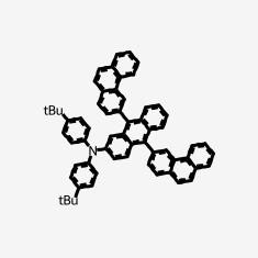 CC(C)(C)c1ccc(N(c2ccc(C(C)(C)C)cc2)c2ccc3c(-c4ccc5ccc6ccccc6c5c4)c4ccccc4c(-c4ccc5ccc6ccccc6c5c4)c3c2)cc1